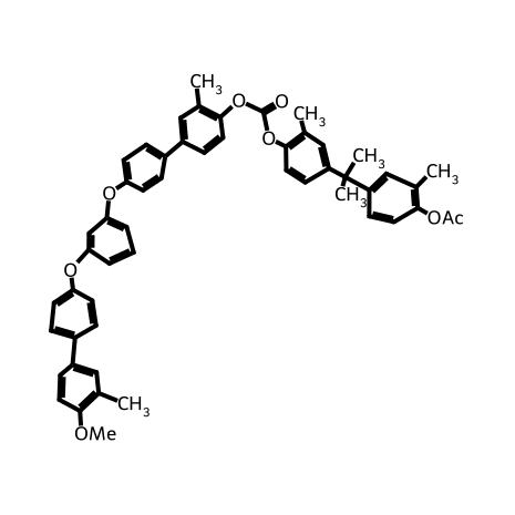 COc1ccc(-c2ccc(Oc3cccc(Oc4ccc(-c5ccc(OC(=O)Oc6ccc(C(C)(C)c7ccc(OC(C)=O)c(C)c7)cc6C)c(C)c5)cc4)c3)cc2)cc1C